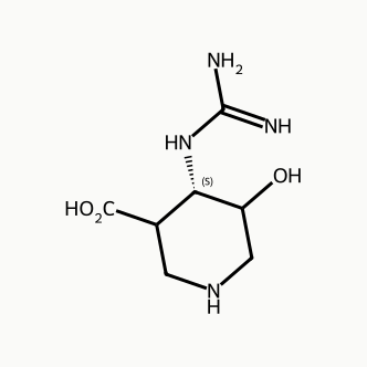 N=C(N)N[C@@H]1C(O)CNCC1C(=O)O